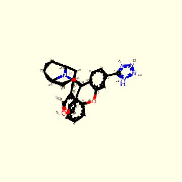 c1ccc2c(c1)Oc1cc(-c3nnn[nH]3)ccc1C2C1CC2CCC(C1)N2Cc1ccoc1